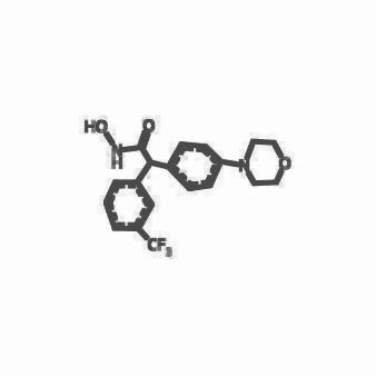 O=C(NO)C(c1ccc(N2CCOCC2)cc1)c1cccc(C(F)(F)F)c1